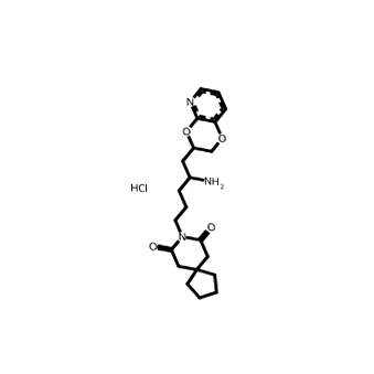 Cl.NC(CCCN1C(=O)CC2(CCCC2)CC1=O)CC1COc2cccnc2O1